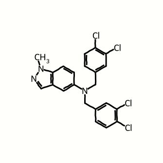 Cn1ncc2cc(N(Cc3ccc(Cl)c(Cl)c3)Cc3ccc(Cl)c(Cl)c3)ccc21